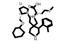 CSCC[C@H](NCC1(CCN2CCC[C@H]2COC2CCCCC2)CCNCC1c1ccccc1C)C(=O)O.[Li]